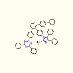 Cc1nc(-c2ccccc2)c(-c2ccccc2)n1-c1ccc(-c2c(-c3ccc(-c4ccccc4)cc3)cccc2-c2ccc(-c3nc(-c4ccccc4)nc(-c4ccccc4)n3)cc2)cc1